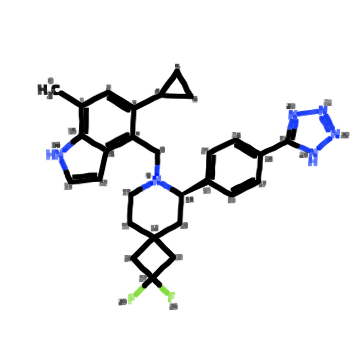 Cc1cc(C2CC2)c(CN2CCC3(C[C@@H]2c2ccc(-c4nnn[nH]4)cc2)CC(F)(F)C3)c2cc[nH]c12